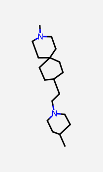 CC1CCN(CCC2CCC3(CC2)CCN(C)CC3)CC1